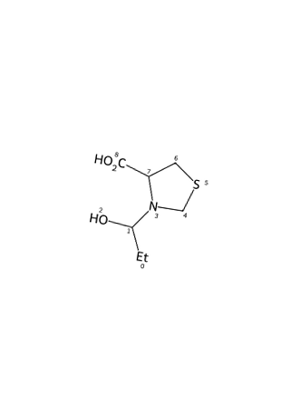 CCC(O)N1CSCC1C(=O)O